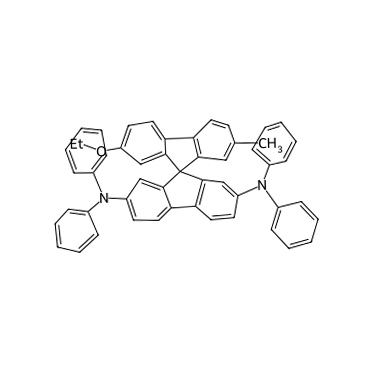 CCOc1ccc2c(c1)C1(c3cc(C)ccc3-2)c2cc(N(c3ccccc3)c3ccccc3)ccc2-c2ccc(N(c3ccccc3)c3ccccc3)cc21